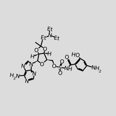 CC1(C)O[C@@H]2[C@H](O1)[C@@H](COS(=O)(=O)NC(=O)c1ccc(N)cc1O)O[C@H]2n1cnc2c(N)ncnc21.CCN(CC)CC